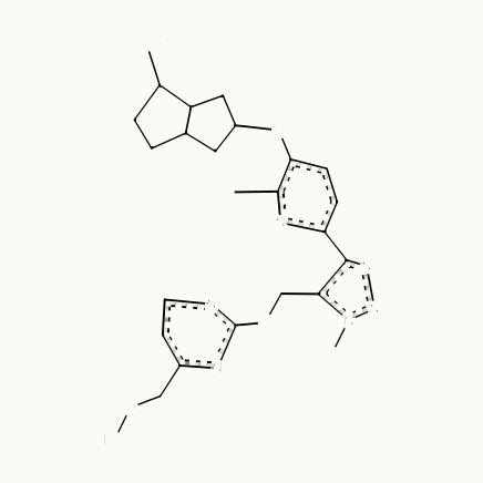 CCOCc1ccnc(OCc2c(-c3ccc(OC4CC5CCC(C(=O)O)C5C4)c(C)n3)nnn2C)n1